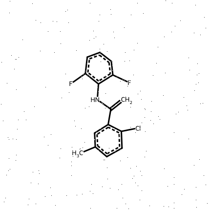 C=C(Nc1c(F)cccc1F)c1cc(C)ccc1Cl